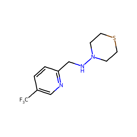 FC(F)(F)c1ccc(CNN2CCSCC2)nc1